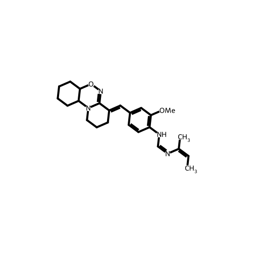 C/C=C(C)\N=C/Nc1ccc(/C=C2\CCCN3C2=NOC2CCCCC23)cc1OC